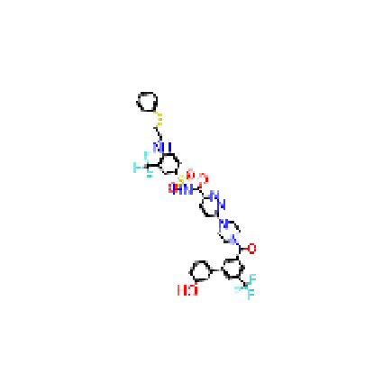 O=C(NS(=O)(=O)c1ccc(NCCSc2ccccc2)c(C(F)(F)F)c1)c1ccc(N2CCN(C(=O)c3cc(-c4cccc(O)c4)cc(C(F)(F)F)c3)CC2)nn1